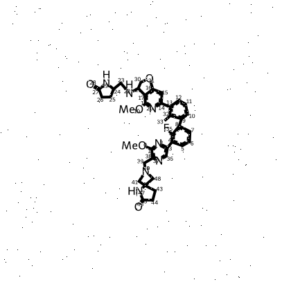 COc1nc(-c2cccc(-c3cccc(-c4cc5c(c(OC)n4)C(NCC4CCC(=O)N4)CO5)c3C)c2F)cnc1CN1CC2(CCC(=O)N2)C1